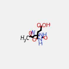 Cc1cc(C2(CCC(=O)O)NC(=O)NC2=O)no1